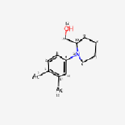 CC(=O)c1ccc(N2CCCCC2CO)cc1C(C)=O